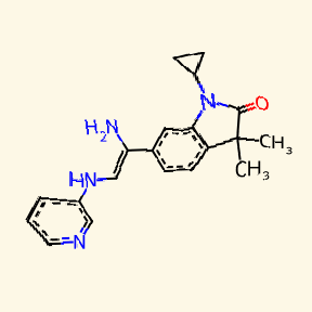 CC1(C)C(=O)N(C2CC2)c2cc(/C(N)=C/Nc3cccnc3)ccc21